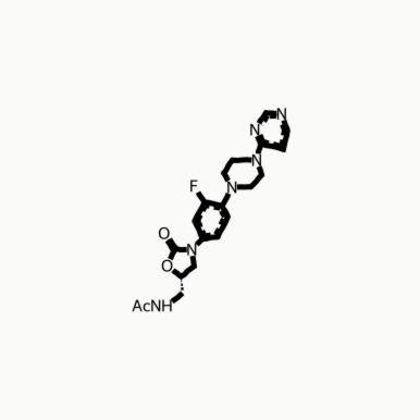 CC(=O)NC[C@H]1CN(c2ccc(N3CCN(c4ccncn4)CC3)c(F)c2)C(=O)O1